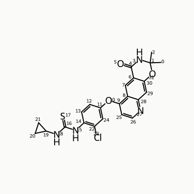 CC1(C)NC(=O)c2cc3c(Oc4ccc(NC(=S)NC5CC5)c(Cl)c4)ccnc3cc2O1